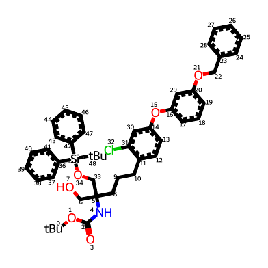 CC(C)(C)OC(=O)NC(CO)(CCCc1ccc(Oc2cccc(OCc3ccccc3)c2)cc1Cl)CO[Si](c1ccccc1)(c1ccccc1)C(C)(C)C